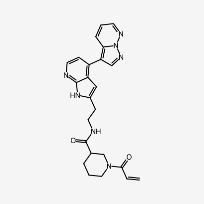 C=CC(=O)N1CCCC(C(=O)NCCc2cc3c(-c4cnn5ncccc45)ccnc3[nH]2)C1